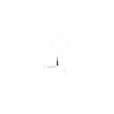 C/N=C(\N)[C@@H]1CCCN1